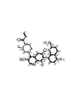 C=CC(=O)N1CCN(c2c(C#N)cnc3c(F)c(-c4ccc(F)c5ccc(N)nc45)c(Cl)cc23)C[C@H]1C